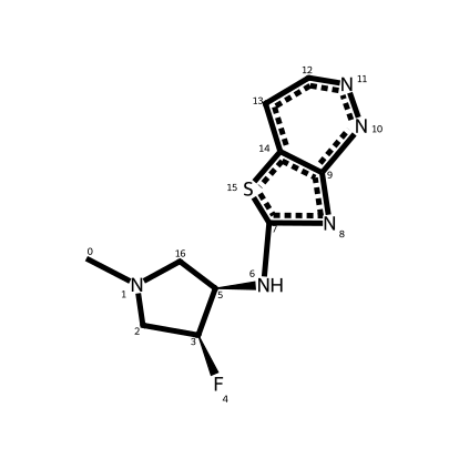 CN1C[C@H](F)[C@H](Nc2nc3nnccc3s2)C1